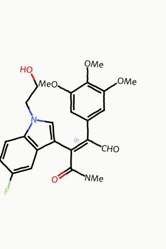 CNC(=O)/C(=C(\C=O)c1cc(OC)c(OC)c(OC)c1)c1cn(CCO)c2ccc(F)cc12